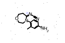 Cc1cc(N)ccc1N1CCOCC/C1=N/C#N